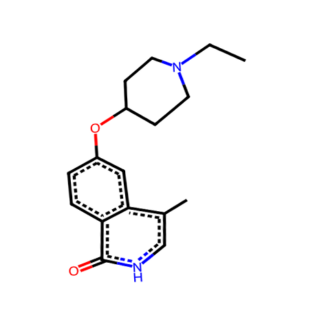 CCN1CCC(Oc2ccc3c(=O)[nH]cc(C)c3c2)CC1